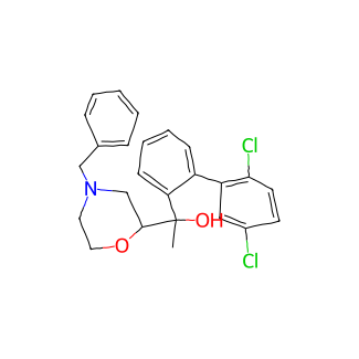 CC(O)(c1ccccc1-c1cc(Cl)ccc1Cl)C1CN(Cc2ccccc2)CCO1